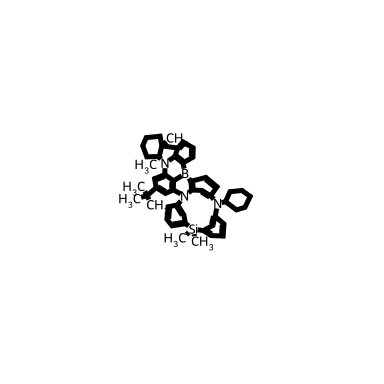 CC(C)(C)c1cc2c3c(c1)N1c4c(cccc4C4(C)CCCCC14C)B3c1ccc3cc1N2c1cccc(c1)[Si](C)(C)c1cccc(c1)N3C1CCCCC1